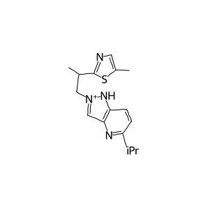 Cc1cnc(C(C)C[n+]2cc3nc(C(C)C)ccc3[nH]2)s1